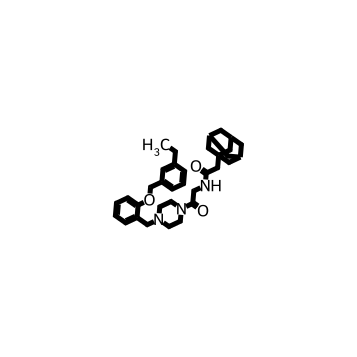 CCc1cccc(COc2ccccc2CN2CCN(C(=O)CNC(=O)CC34CC5CC(CC(C5)C3)C4)CC2)c1